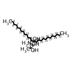 CC(=O)O.CCCCCCCCCCCCC(N)C(O)(O)CCCCCCCCCCCC